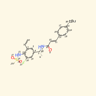 C=Cc1cc([C@@H](C)NC(=O)C=Cc2ccc(C(C)(C)C)cc2)cc(F)c1NS(C)(=O)=O